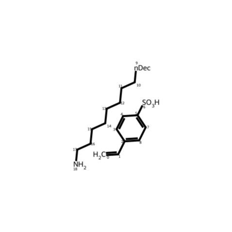 C=Cc1ccc(S(=O)(=O)O)cc1.CCCCCCCCCCCCCCCCCCN